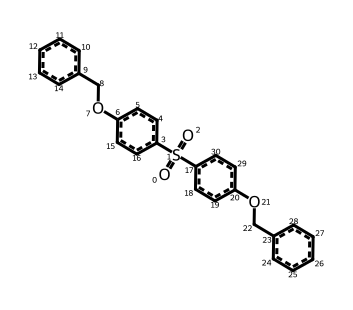 O=S(=O)(c1ccc(OCc2ccccc2)cc1)c1ccc(OCc2ccccc2)cc1